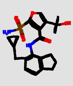 CC(C)(O)c1coc(S(N)(=O)=O)c1C(=O)Nc1c(CC2CC2)ccc2c1CCC2